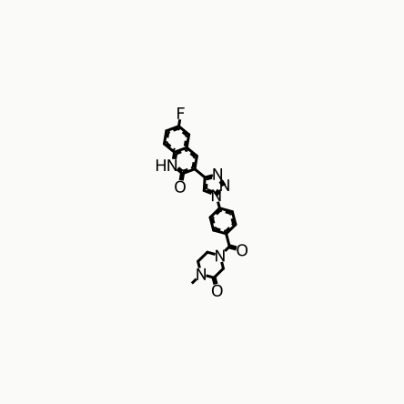 CN1CCN(C(=O)c2ccc(-n3cc(-c4cc5cc(F)ccc5[nH]c4=O)nn3)cc2)CC1=O